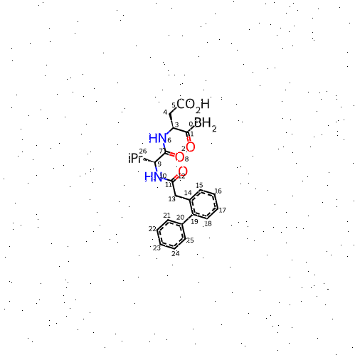 BC(=O)[C@H](CC(=O)O)NC(=O)[C@@H](NC(=O)Cc1ccccc1-c1ccccc1)C(C)C